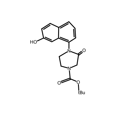 CC(C)(C)OC(=O)N1CCN(c2cccc3ccc(O)cc23)C(=O)C1